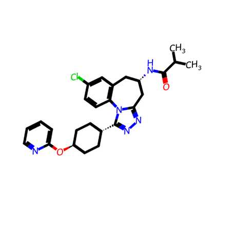 CC(C)C(=O)N[C@H]1Cc2cc(Cl)ccc2-n2c(nnc2[C@H]2CC[C@H](Oc3ccccn3)CC2)C1